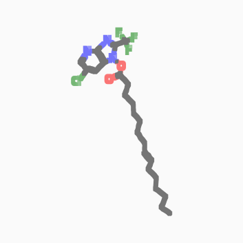 CCCCCCC=CCCCCCCCC(=O)On1c(C(F)(F)F)nc2ncc(Cl)cc21